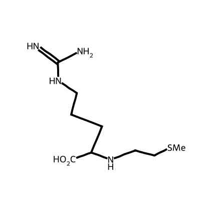 CSCCNC(CCCNC(=N)N)C(=O)O